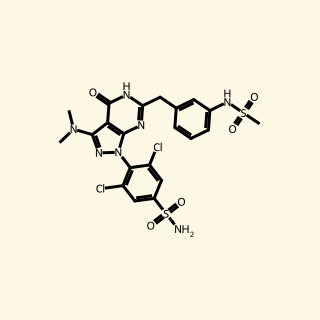 CN(C)c1nn(-c2c(Cl)cc(S(N)(=O)=O)cc2Cl)c2nc(Cc3cccc(NS(C)(=O)=O)c3)[nH]c(=O)c12